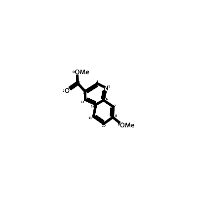 COC(=O)c1cnc2cc(OC)ccc2c1